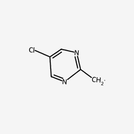 [CH2]c1ncc(Cl)cn1